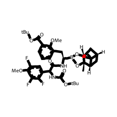 COc1c(C[C@H](NC(=O)C(NC(=O)OC(C)(C)C)c2cc(F)c(OC)c(F)c2F)B2O[C@@H]3C[C@@H]4C[C@@H](C4(C)C)[C@]3(C)O2)cccc1C(=O)OC(C)(C)C